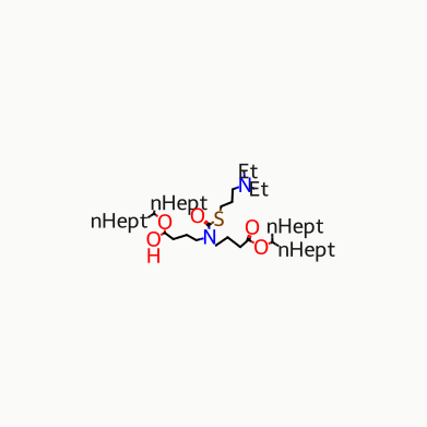 CCCCCCCC(CCCCCCC)OC(=O)CCCN(CCCC(O)OC(CCCCCCC)CCCCCCC)C(=O)SCCCN(CC)CC